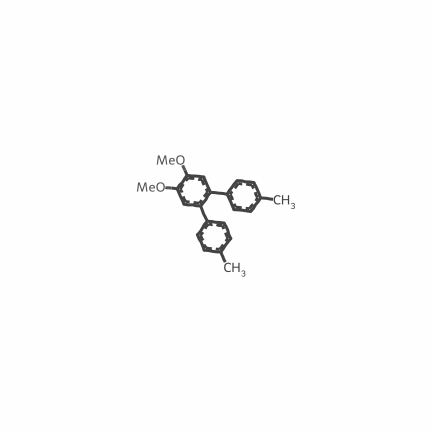 COc1cc(-c2ccc(C)cc2)c(-c2ccc(C)cc2)cc1OC